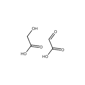 O=C(O)CO.O=CC(=O)O